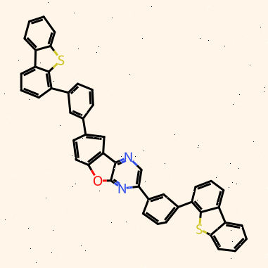 c1cc(-c2ccc3oc4nc(-c5cccc(-c6cccc7c6sc6ccccc67)c5)cnc4c3c2)cc(-c2cccc3c2sc2ccccc23)c1